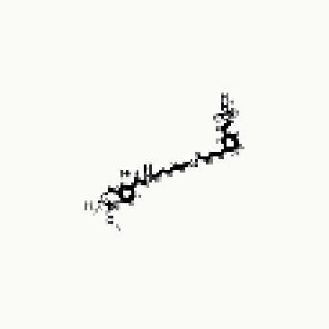 CC1(C)OCc2cc([C@@H](O)CNCCCCCCOCCCCc3cccc(C=CS(N)(=O)=O)c3)ccc2O1